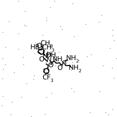 CC1(C)OBc2ccc(N(O)C(=O)[C@@H](CCc3ccc(C(F)(F)F)cc3)NC(=O)[C@@H](N)CCC(=O)N(CCN)CCN)cc21